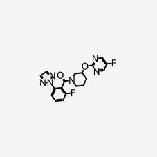 O=C(c1c(F)cccc1-n1nccn1)N1CCCC(Oc2ncc(F)cn2)C1